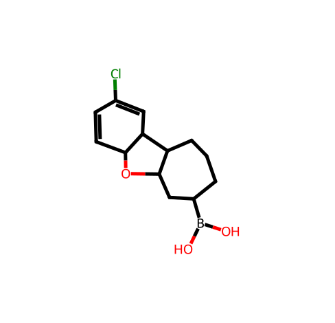 OB(O)C1CCCC2C(C1)OC1C=CC(Cl)=CC12